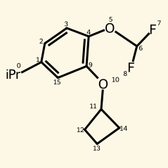 CC(C)c1ccc(OC(F)F)c(OC2CCC2)c1